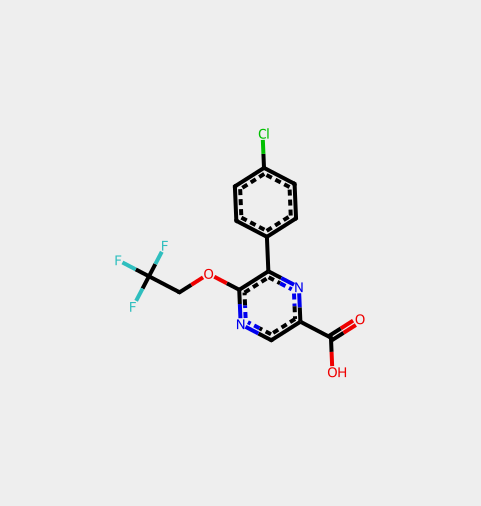 O=C(O)c1cnc(OCC(F)(F)F)c(-c2ccc(Cl)cc2)n1